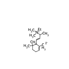 CC[N+](C)(C)C(C)/C=C/C1C(C)=CCCC1(C)C.[I-]